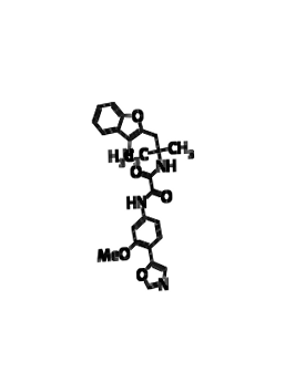 COc1cc(NC(=O)C(=O)NC(C)(C)Cc2oc3ccccc3c2C)ccc1-c1cnco1